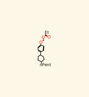 CCCCCC1CCC(c2ccc(OCOC(=O)CC)cc2)CC1